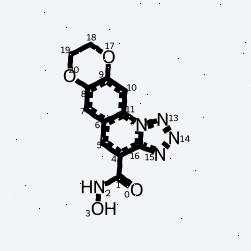 O=C(NO)c1cc2cc3c(cc2n2nnnc12)OCCO3